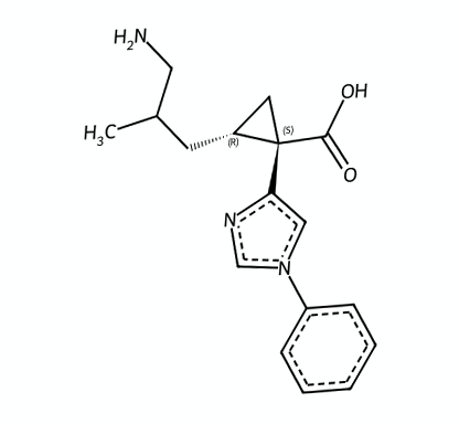 CC(CN)C[C@@H]1C[C@@]1(C(=O)O)c1cn(-c2ccccc2)cn1